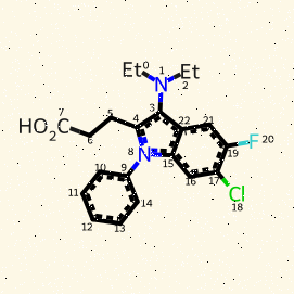 CCN(CC)c1c(CCC(=O)O)n(-c2ccccc2)c2cc(Cl)c(F)cc12